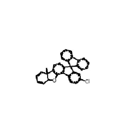 CC12C=CC=CC1Oc1c2ccc2c1-c1ccc(Cl)cc1C21c2ccccc2-c2ccccc21